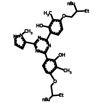 CCCCC(CC)COc1ccc(-c2nc(-c3ccc(OCC(CC)CCCC)c(C)c3O)nc(-c3ccnn3C)n2)c(O)c1C